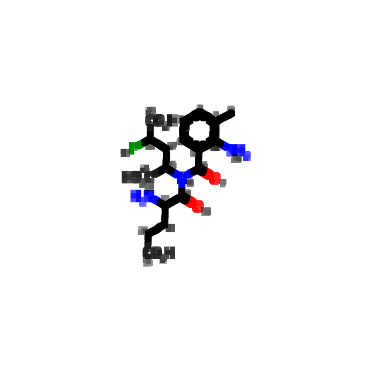 Cc1cccc(C(=O)N(C(=O)C(N)CCC(=O)O)C(CC(F)C(=O)O)C(=O)O)c1N